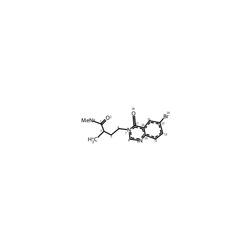 CNC(=O)C(C)CCn1cnc2ccc(Br)cc2c1=O